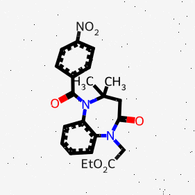 CCOC(=O)CN1C(=O)CC(C)(C)N(C(=O)c2ccc([N+](=O)[O-])cc2)c2ccccc21